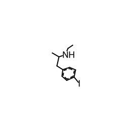 CCNC(C)Cc1ccc(I)cc1